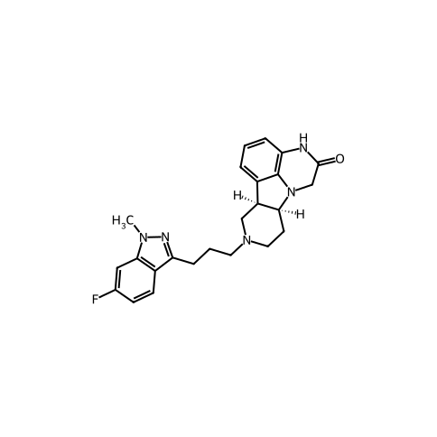 Cn1nc(CCCN2CC[C@H]3[C@@H](C2)c2cccc4c2N3CC(=O)N4)c2ccc(F)cc21